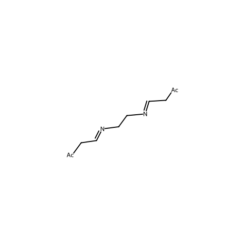 CC(=O)CC=NCCN=CCC(C)=O